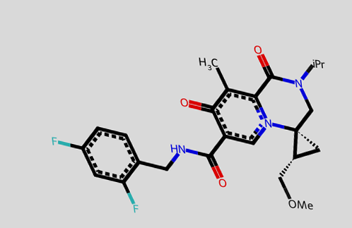 COC[C@H]1C[C@]12CN(C(C)C)C(=O)c1c(C)c(=O)c(C(=O)NCc3ccc(F)cc3F)cn12